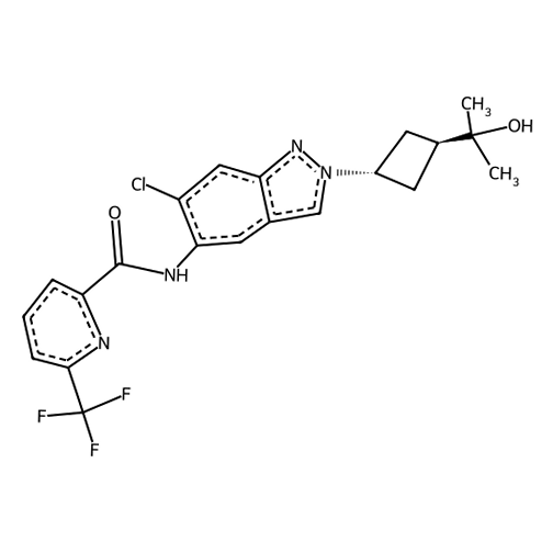 CC(C)(O)[C@H]1C[C@H](n2cc3cc(NC(=O)c4cccc(C(F)(F)F)n4)c(Cl)cc3n2)C1